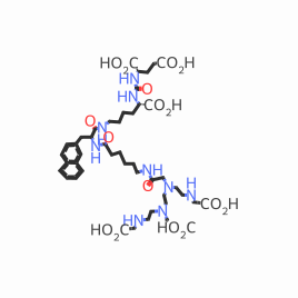 O=C(O)CC[C@H](NC(=O)N[C@@H](CCCCNC(=O)C(Cc1ccc2ccccc2c1)NC(=O)CCCCCNC(=O)CN(CCNCC(=O)O)CCN(CCNCC(=O)O)CC(=O)O)C(=O)O)C(=O)O